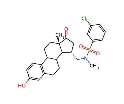 CN(C[C@H]1CC(=O)[C@@]2(C)CCC3c4ccc(O)cc4CCC3C12)S(=O)(=O)c1cccc(Cl)c1